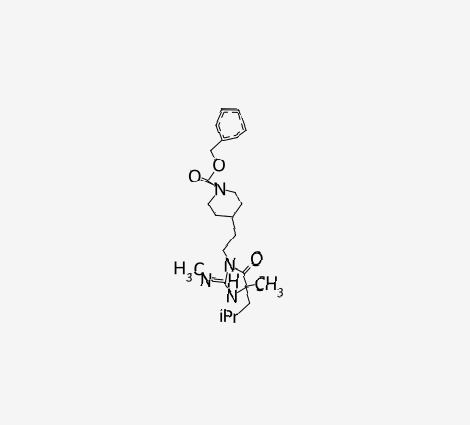 C/N=C1/NC(C)(CC(C)C)C(=O)N1CCC1CCN(C(=O)OCc2ccccc2)CC1